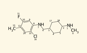 CNC1CCC(CNc2cc(F)c(C)cc2Cl)CC1